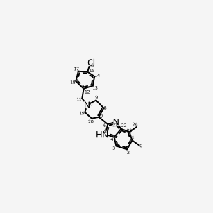 Cc1ccc2[nH]c(C3=CCN(Cc4ccc(Cl)cc4)CC3)nc2c1C